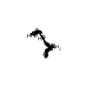 C=C1CCC(N2Cc3c(CCCC(=O)NCCCOc4ccc(Nc5nc(N6CCC[C@@H](N7CCN(C)C7=O)C6)cnc5C(N)=O)cc4)cccc3C2=O)C(=O)N1